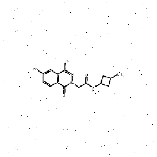 CC1CC(NC(=O)Cn2nc(C(C)C)c3cc(Br)ccc3c2=O)C1